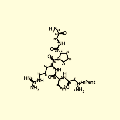 CCCCCN(N)CC(=O)NC(CC(C)C)C(=O)NC(CCCNC(=N)N)C(=O)N1CCC[C@H]1C(=O)NCC(N)=O